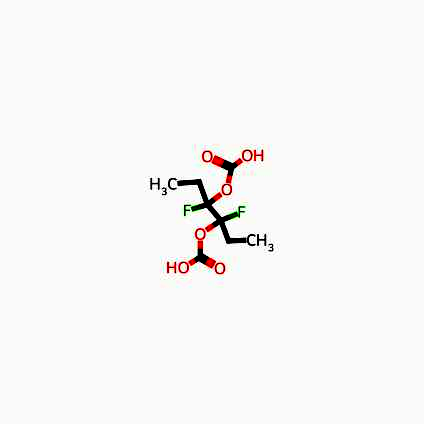 CCC(F)(OC(=O)O)C(F)(CC)OC(=O)O